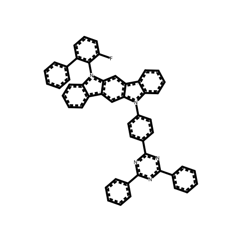 Fc1cccc(-c2ccccc2)c1-n1c2ccccc2c2cc3c(cc21)c1ccccc1n3-c1ccc(-c2nc(-c3ccccc3)nc(-c3ccccc3)n2)cc1